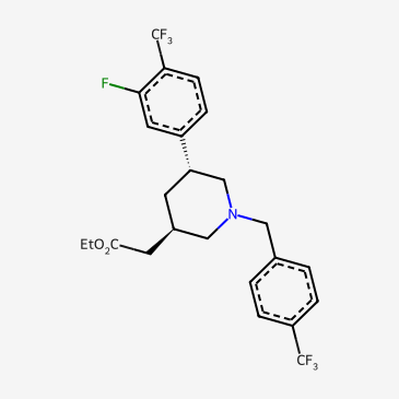 CCOC(=O)C[C@H]1C[C@H](c2ccc(C(F)(F)F)c(F)c2)CN(Cc2ccc(C(F)(F)F)cc2)C1